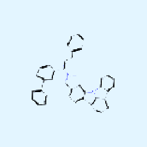 C(/Cc1ccccc1)=C(/NCc1ccc2c3cccc4c5ccccc5n(c2c1)c43)c1cccc(-c2ccccc2)c1